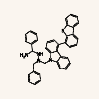 NC(NN(Cc1ccccc1)Cn1c2ccccc2c2c(-c3cccc4c3sc3ccccc34)cccc21)c1ccccc1